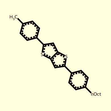 CCCCCCCCc1ccc(-c2cc3sc(-c4ccc(C)cc4)cc3s2)cc1